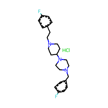 Cl.Fc1ccc(CCN2CCC(N3CCN(Cc4ccc(F)cc4)CC3)CC2)cc1